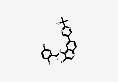 C[C@@H](Nc1c(Cl)cnc2ccc(-c3cnc(C(C)(O)I)nc3)cc12)c1cc(Br)ccc1F